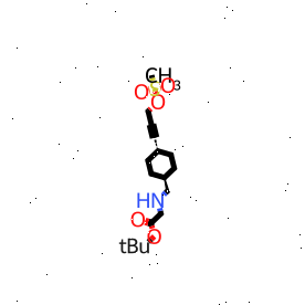 CC(C)(C)OC(=O)CNC[C@H]1CC[C@H](C#CCOS(C)(=O)=O)CC1